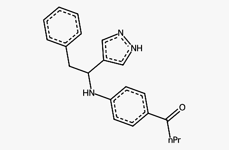 CCCC(=O)c1ccc(NC(Cc2ccccc2)c2cn[nH]c2)cc1